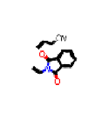 C=CCC#N.C=CN1C(=O)c2ccccc2C1=O